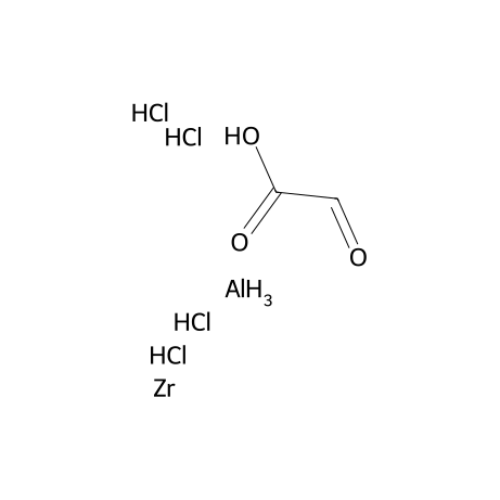 Cl.Cl.Cl.Cl.O=CC(=O)O.[AlH3].[Zr]